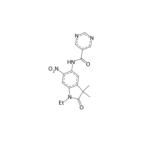 CCN1C(=O)C(C)(C)c2cc(NC(=O)c3cncnc3)c([N+](=O)[O-])cc21